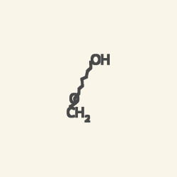 C=CCOCCCCCCCCO